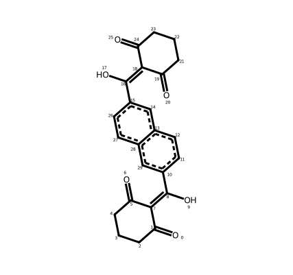 O=C1CCCC(=O)C1=C(O)c1ccc2cc(C(O)=C3C(=O)CCCC3=O)ccc2c1